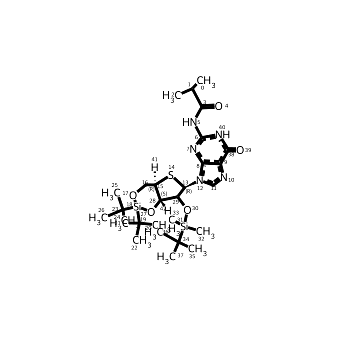 CC(C)C(=O)Nc1nc2c(ncn2[C@@H]2S[C@@H]3CO[Si](C(C)(C)C)(C(C)(C)C)O[C@H]3C2O[Si](C)(C)C(C)(C)C)c(=O)[nH]1